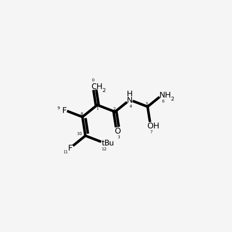 C=C(C(=O)NC(N)O)/C(F)=C(/F)C(C)(C)C